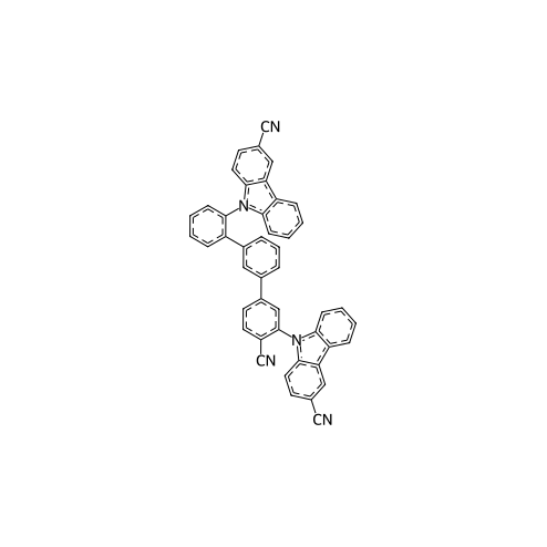 N#Cc1ccc2c(c1)c1ccccc1n2-c1cc(-c2cccc(-c3ccccc3-n3c4ccccc4c4cc(C#N)ccc43)c2)ccc1C#N